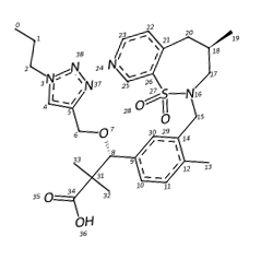 CCCn1cc(CO[C@H](c2ccc(C)c(CN3C[C@H](C)Cc4ccncc4S3(=O)=O)c2)C(C)(C)C(=O)O)nn1